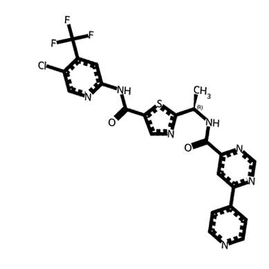 C[C@@H](NC(=O)c1cc(-c2ccncc2)ncn1)c1ncc(C(=O)Nc2cc(C(F)(F)F)c(Cl)cn2)s1